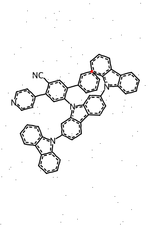 N#Cc1cc(-c2ccccc2)c(-n2c3cc(-n4c5ccccc5c5ccccc54)ccc3c3ccc(-n4c5ccccc5c5ccccc54)cc32)cc1-c1ccncc1